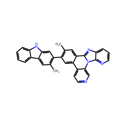 Cc1cc2c(cc1-c1cc3c4ccncc4n4c5ncccc5nc4c3cc1C)[nH]c1ccccc12